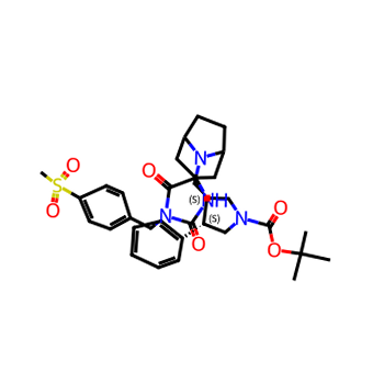 CC(C)(C)OC(=O)N1C[C@H](CN2C3CCC2CC2(C3)NC(=O)N(Cc3ccc(S(C)(=O)=O)cc3)C2=O)[C@@H](c2ccccc2)C1